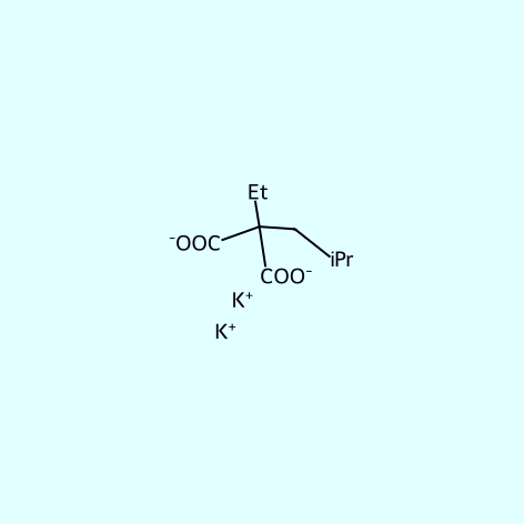 CCC(CC(C)C)(C(=O)[O-])C(=O)[O-].[K+].[K+]